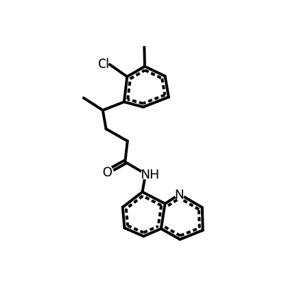 Cc1cccc(C(C)CCC(=O)Nc2cccc3cccnc23)c1Cl